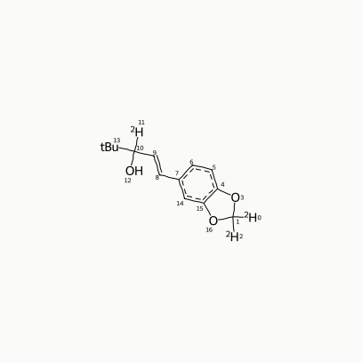 [2H]C1([2H])Oc2ccc(/C=C/C([2H])(O)C(C)(C)C)cc2O1